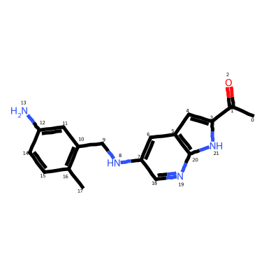 CC(=O)c1cc2cc(NCc3cc(N)ccc3C)cnc2[nH]1